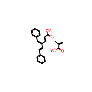 C=C(C)C(=O)O.O=C(O)C=CC(C=Cc1ccccc1)=Cc1ccccc1